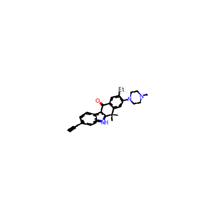 C#Cc1ccc2c3c([nH]c2c1)C(C)(C)c1cc(N2CCN(C)CC2)c(CC)cc1C3=O